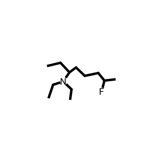 CCC(CCCC(C)F)N(CC)CC